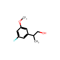 C[C](CO)c1cc(F)cc(OC(F)(F)F)c1